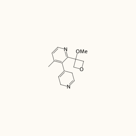 COC1(c2nccc(C)c2C2=CCN=CC2)COC1